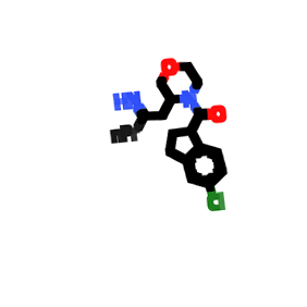 CCCC(=N)CC1COCCN1C(=O)C1CCc2cc(Cl)ccc21